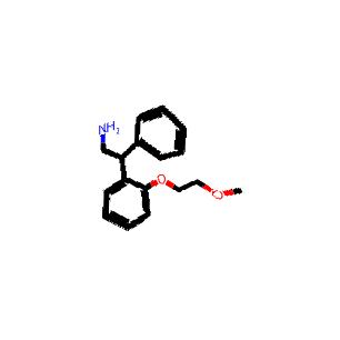 COCCOc1ccccc1C(CN)c1ccccc1